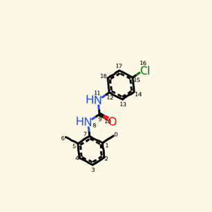 Cc1cccc(C)c1NC(=O)Nc1ccc(Cl)cc1